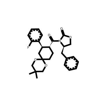 CC1(C)COC2(CC[C@@H](C(=O)N3C(=O)OC[C@H]3Cc3ccccc3)[C@H](c3ccccc3F)C2)OC1